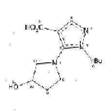 CCCCn1ncc(C(=O)O)c1N1CCC(O)C1